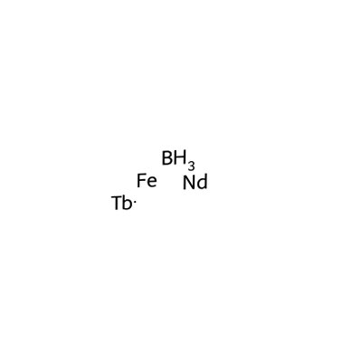 B.[Fe].[Nd].[Tb]